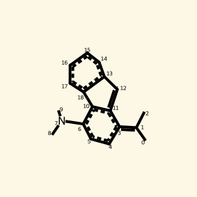 CC(C)=c1ccc(N(C)C)c2c1=[C]c1ccccc1-2